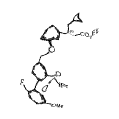 CCOC(=O)C[C@@H](CC1CC1)c1cccc(OCc2ccc(-c3cc(OC)ccc3F)c(S(=O)(=O)C(C)C)c2)c1